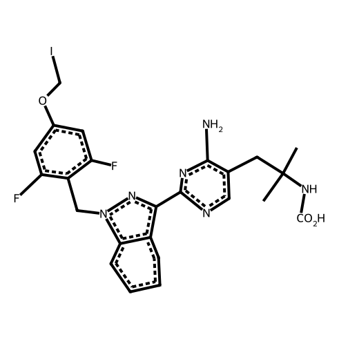 CC(C)(Cc1cnc(-c2nn(Cc3c(F)cc(OCI)cc3F)c3ccccc23)nc1N)NC(=O)O